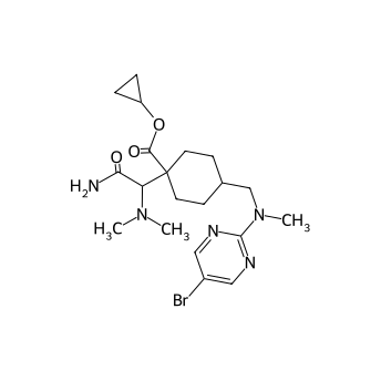 CN(CC1CCC(C(=O)OC2CC2)(C(C(N)=O)N(C)C)CC1)c1ncc(Br)cn1